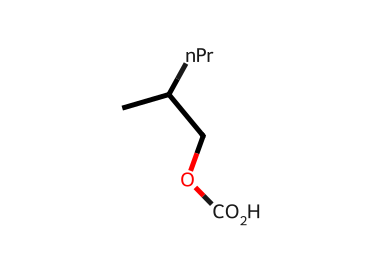 CCCC(C)COC(=O)O